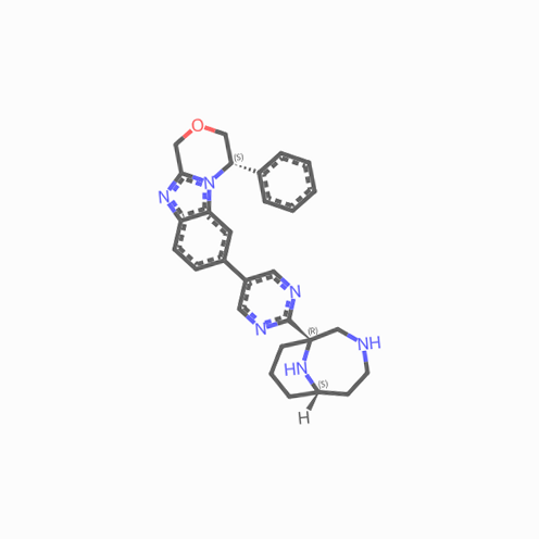 c1ccc([C@H]2COCc3nc4ccc(-c5cnc([C@@]67CCC[C@@H](CCNC6)N7)nc5)cc4n32)cc1